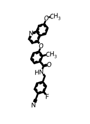 COc1ccc2c(Oc3cccc(C(=O)NCc4ccc(C#N)c(F)c4)c3C)ccnc2c1